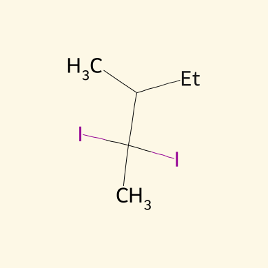 CCC(C)C(C)(I)I